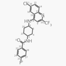 O=C(NC1CCC(Nc2cc(C(F)(F)F)nc3ccc(Cl)cc23)CC1)c1ccc(F)cc1